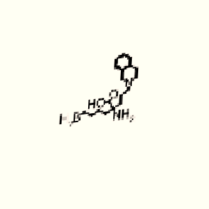 BCCCCC(N)(CCCN1CCc2ccccc2C1)C(=O)O